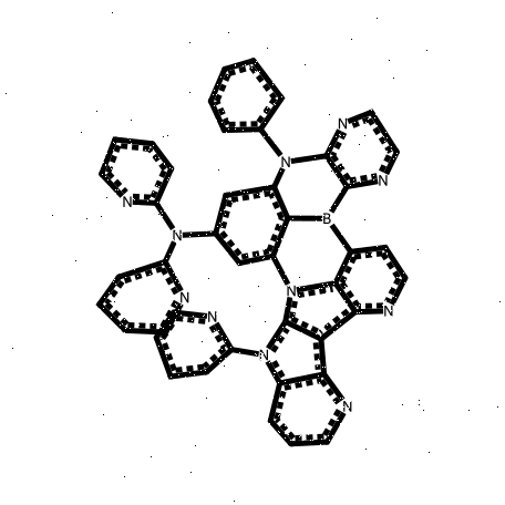 c1ccc(N2c3cc(N(c4ccccn4)c4ccccn4)cc4c3B(c3nccnc32)c2ccnc3c5c6ncccc6n(-c6ccccn6)c5n-4c23)cc1